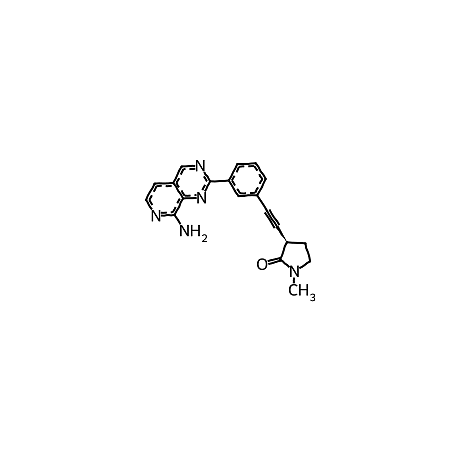 CN1CC[C@H](C#Cc2cccc(-c3ncc4ccnc(N)c4n3)c2)C1=O